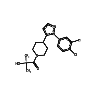 C[C@@](O)(C(=O)N1CCC(c2ccnn2-c2ccc(Cl)c(Cl)c2)CC1)C(F)(F)F